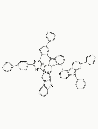 C1=CCC(c2ccc3c4c(-c5cccc6c5c5ccccc5n6-c5cc(-c6ccccc6)ccc5-c5nc(-c6ccc(-c7ccccc7)cc6)nc(-c6ccc7sc8ccccc8c7c6)n5)cccc4n(-c4ccccc4)c3c2)C=C1